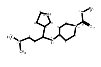 CN(C)CCC(NC1CCN(C(=O)OC(C)(C)C)CC1)C1CCNC1